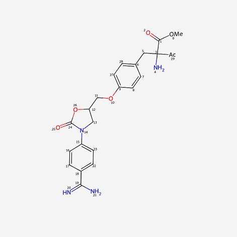 COC(=O)C(N)(Cc1ccc(OCC2CN(c3ccc(C(=N)N)cc3)C(=O)O2)cc1)C(C)=O